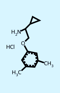 Cc1cc(C)cc(OCC(N)C2CC2)c1.Cl